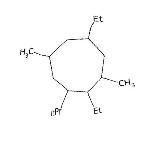 CCCC1CC(C)CC(CC)CC(C)C1CC